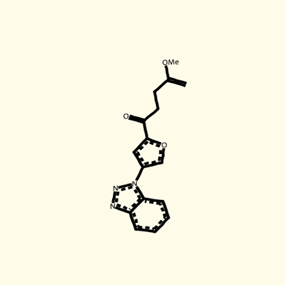 C=C(CCC(=O)c1cc(-n2nnc3ccccc32)co1)OC